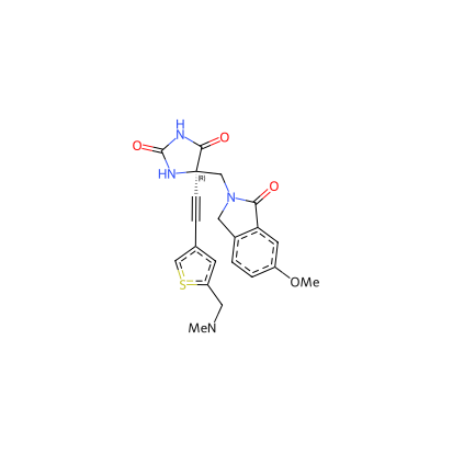 CNCc1cc(C#C[C@]2(CN3Cc4ccc(OC)cc4C3=O)NC(=O)NC2=O)cs1